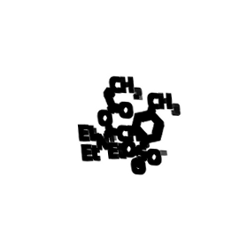 C=CC(=O)OC(C)[N+](CC)(CC)CC.Cc1ccc(S(=O)(=O)[O-])cc1